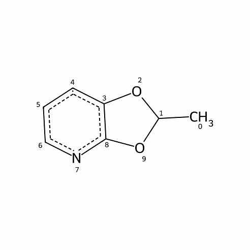 CC1Oc2[c]ccnc2O1